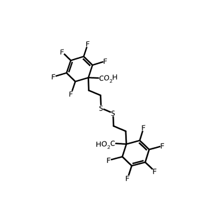 O=C(O)C1(CCSSCCC2(C(=O)O)C(F)=C(F)C(F)=C(F)C2F)C(F)=C(F)C(F)=C(F)C1F